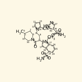 CC1CCN(C(=O)C(CCn2cccc2C#N)c2cc3c(S(N)(=O)=O)cccc3n2C)CC1.NS(=O)(=O)c1cn[nH]c1